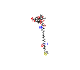 CC(C)[C@]12O[C@H]1[C@@H]1O[C@]13[C@]1(O[C@H]1C[C@H]1C4=C(CC[C@@]13C)C(=O)OC4)[C@@H]2OC(=O)CCC(=O)NCCCCCCCCCCCCNC(=O)CCCCC1CCSS1